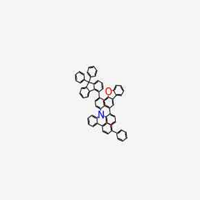 c1ccc(-c2ccc(-c3ccccc3N(c3ccc(-c4cccc5c4-c4ccccc4C5(c4ccccc4)c4ccccc4)cc3)c3ccccc3-c3ccc4oc5ccccc5c4c3)cc2)cc1